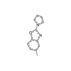 Cc1ccc2oc(-n3cccc3)nc2c1